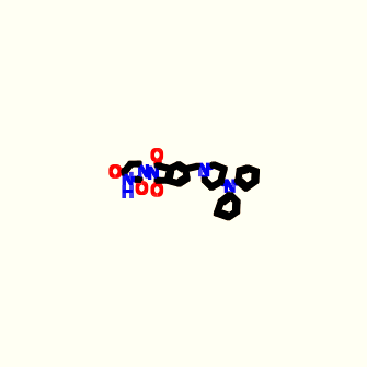 O=C1CCN(N2C(=O)c3ccc(CN4CCC(N(c5ccccc5)c5ccccc5)CC4)cc3C2=O)C(=O)N1